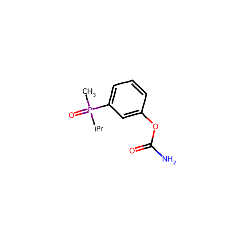 CC(C)P(C)(=O)c1cccc(OC(N)=O)c1